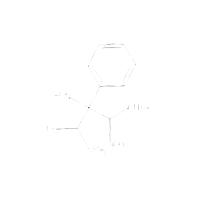 CCCCCCCC(CC)C(N)(c1ccccc1)C(CCCC)CCCCCC